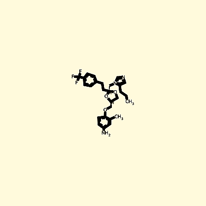 CCCc1cncn1C[C@]1(CCc2ccc(C(F)(F)F)cc2)OC[C@@H](COc2ccc(N)cc2C)O1